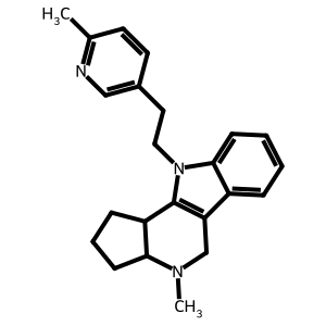 Cc1ccc(CCn2c3c(c4ccccc42)CN(C)C2CCCC32)cn1